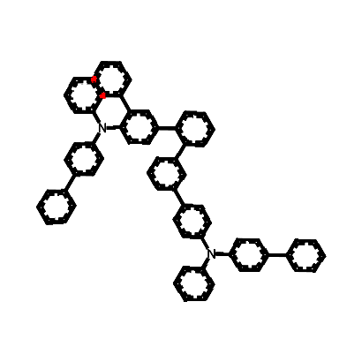 c1ccc(-c2ccc(N(c3ccccc3)c3ccc(-c4cccc(-c5ccccc5-c5ccc(N(c6ccccc6)c6ccc(-c7ccccc7)cc6)c(-c6ccccc6)c5)c4)cc3)cc2)cc1